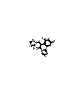 OC(C(Cn1cncn1)c1ccc(F)cc1F)n1cncn1